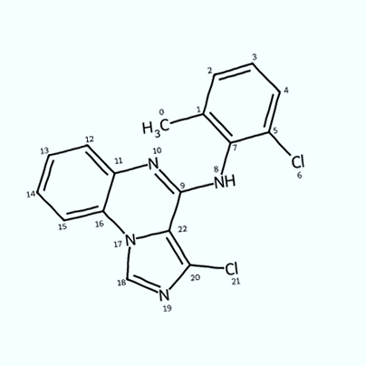 Cc1cccc(Cl)c1Nc1nc2ccccc2n2cnc(Cl)c12